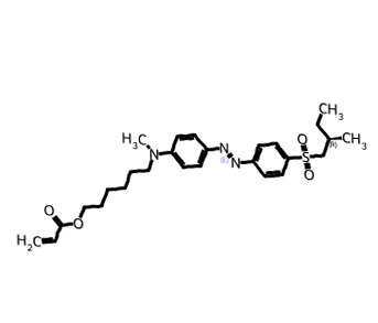 C=CC(=O)OCCCCCCN(C)c1ccc(/N=N/c2ccc(S(=O)(=O)C[C@H](C)CC)cc2)cc1